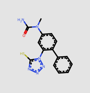 CN(C(N)=O)c1ccc(-c2ccccc2)c(-n2nnnc2S)c1